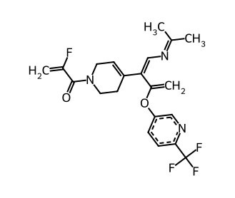 C=C(F)C(=O)N1CC=C(/C(=C/N=C(C)C)C(=C)Oc2ccc(C(F)(F)F)nc2)CC1